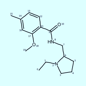 CCN1CCCC1CNC(=O)c1ccc(C)cc1OC